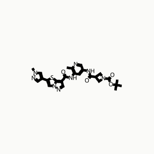 Cc1ncc(NC(=O)C2CN(C(=O)OC(C)(C)C)C2)cc1NC(=O)c1cnn2cc(-c3cnn(C)c3)sc12